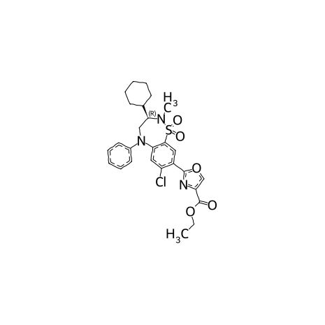 CCOC(=O)c1coc(-c2cc3c(cc2Cl)N(c2ccccc2)C[C@@H](C2CCCCC2)N(C)S3(=O)=O)n1